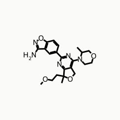 COCCC1(C)OCc2c(N3CCOCC3C)nc(-c3ccc4onc(N)c4c3)nc21